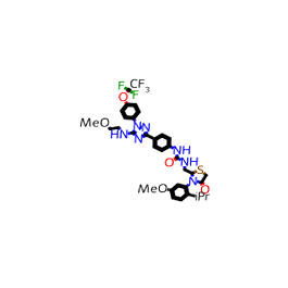 COCCNc1nc(-c2ccc(NC(=O)NCC3SCC(=O)N3c3cc(OC)ccc3C(C)C)cc2)nn1-c1ccc(OC(F)(F)C(F)(F)F)cc1